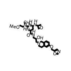 COCCN(C)C1NC(NC2COC2)CC(C(=O)NC[C@H](O)CN2CCc3cc(OCc4cnco4)ccc3C2)N1